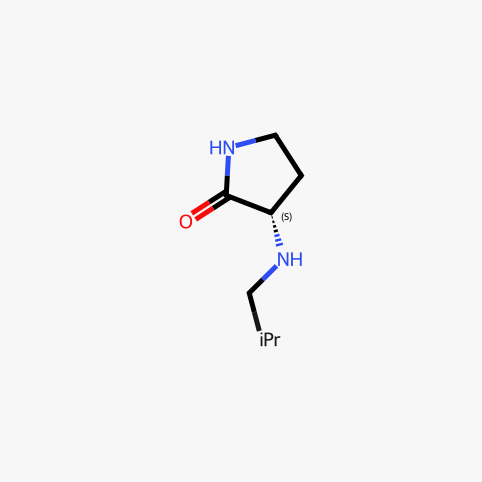 CC(C)CN[C@H]1CCNC1=O